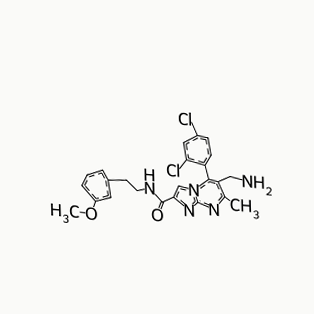 COc1cccc(CCNC(=O)c2cn3c(-c4ccc(Cl)cc4Cl)c(CN)c(C)nc3n2)c1